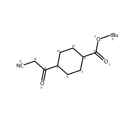 CC(C)(C)OC(=O)C1CCC(C(=O)CC#N)CC1